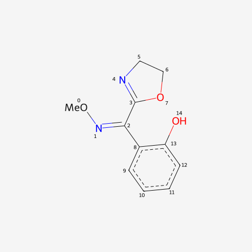 CON=C(C1=NCCO1)c1ccccc1O